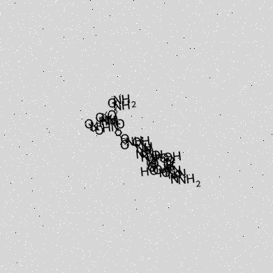 CC(C)[C@H](NC(=O)CCN1C(=O)C=CC1=O)C(=O)N[C@@H](CCCCNC(N)=O)C(=O)Nc1ccc(COC(=O)NCC(O)CNc2ncnc3c2ncn3[C@@H]2O[C@@H]3COP(=O)(O)O[C@H]4[C@@H](F)[C@H](n5cnc6c(N)ncnc65)O[C@@H]4COP(=O)(O)O[C@H]3[C@H]2F)cc1